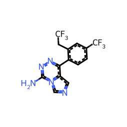 Nc1nnc(-c2ccc(C(F)(F)F)cc2CC(F)(F)F)c2cncn12